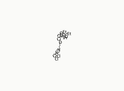 CCC(CC)C(=O)OC(C(C)C)n1c(=O)ccc2ccc(OCCCCN3CCN(c4cccc(Cl)c4Cl)CC3)cc21